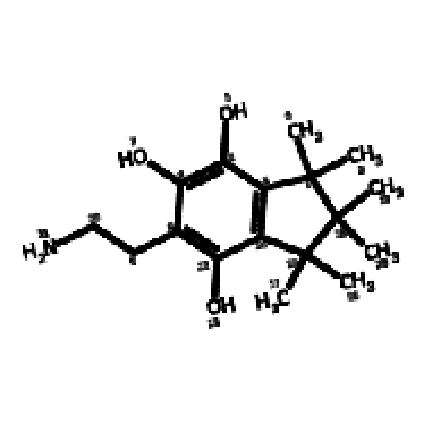 CC1(C)c2c(O)c(O)c(CCN)c(O)c2C(C)(C)C1(C)C